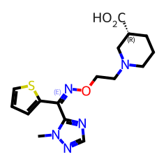 Cn1ncnc1/C(=N\OCCN1CCC[C@@H](C(=O)O)C1)c1cccs1